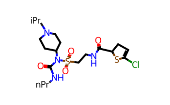 CCCNC(=O)N(C1CCN(C(C)C)CC1)S(=O)(=O)CCNC(=O)C1CC=C(Cl)S1